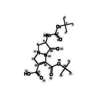 CC(C)(C)OC(=O)NC1CN2CC(C(=O)O)=C(C(=O)OC(C)(C)C)N2C1=O